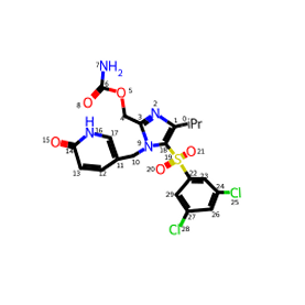 CC(C)c1nc(COC(N)=O)n(Cc2ccc(=O)[nH]c2)c1S(=O)(=O)c1cc(Cl)cc(Cl)c1